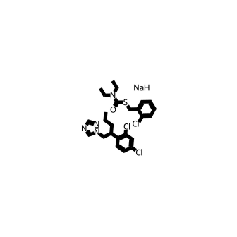 CCCC(Cn1cncn1)c1ccc(Cl)cc1Cl.CCN(CC)C(=O)SCc1ccccc1Cl.[NaH]